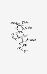 CCOP(=O)(O)Oc1cc(OC)ccc1-c1cnsc1-c1cc(OC)c(OC)c(OC)c1